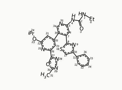 CCNC(=O)Nc1cc(-c2nc(-c3ccccc3)cs2)c(-c2cc(OC(C)C)nc(-c3nnc(C)o3)c2)cn1